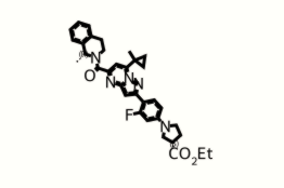 CCOC(=O)[C@H]1CCN(c2ccc(-c3cc4nc(C(=O)N5CCc6ccccc6[C@H]5C)cc(C5(C)CC5)n4n3)c(F)c2)C1